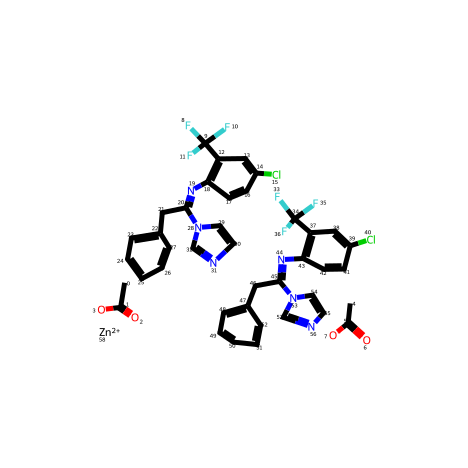 CC(=O)[O-].CC(=O)[O-].FC(F)(F)c1cc(Cl)ccc1N=C(Cc1ccccc1)n1ccnc1.FC(F)(F)c1cc(Cl)ccc1N=C(Cc1ccccc1)n1ccnc1.[Zn+2]